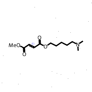 COC(=O)/C=C/C(=O)OCCCCCN(C)C